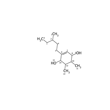 CCC(C)CCC1=CC(O)C(C)C(C)C1O